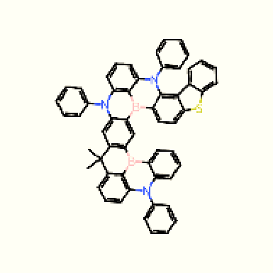 CC1(C)c2cc3c(cc2B2c4ccccc4N(c4ccccc4)c4cccc1c42)B1c2ccc4sc5ccccc5c4c2N(c2ccccc2)c2cccc(c21)N3c1ccccc1